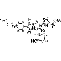 COCCOc1ccc(C2NC(=O)N(C(Cc3ccccc3C#N)C(=O)Nc3nc(C(=O)OC)cs3)C2=O)cc1